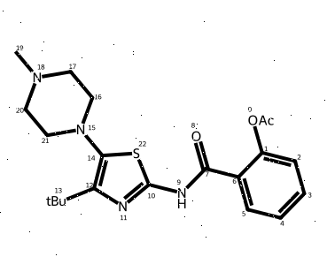 CC(=O)Oc1ccccc1C(=O)Nc1nc(C(C)(C)C)c(N2CCN(C)CC2)s1